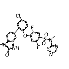 CN(c1ncns1)S(=O)(=O)c1cc(F)c(Oc2ccc(Cl)cc2-c2ccc3[nH]c(=O)[nH]c3c2)cc1F